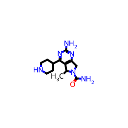 CC1c2c(nc(N)nc2C2CCNCC2)CN1C(N)=O